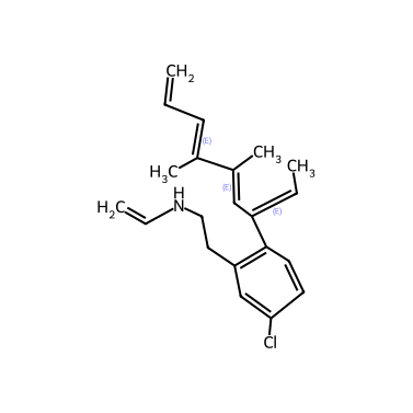 C=C/C=C(C)/C(C)=C/C(=C\C)c1ccc(Cl)cc1CCNC=C